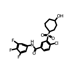 O=C(Nc1cc(F)c(F)c(F)c1)c1ccc(Cl)c(S(=O)(=O)C2CCCC(O)CC2)c1